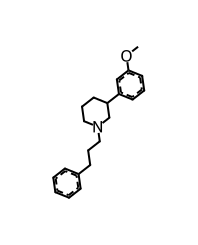 COc1cccc(C2CCCN(CCCc3ccccc3)C2)c1